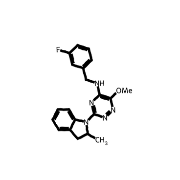 COc1nnc(N2c3ccccc3CC2C)nc1NCc1cccc(F)c1